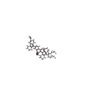 C/C=C\c1c(CC)c2ccccc2n1C1=C(c2cccc(-c3ccc(-n4c5c(c6cc(C#N)ccc64)C=CCC5)cc3C#N)c2C#N)C=CCC1